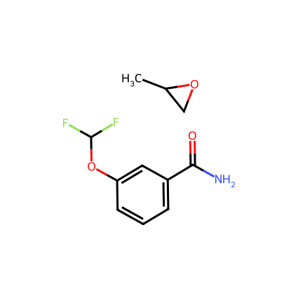 CC1CO1.NC(=O)c1cccc(OC(F)F)c1